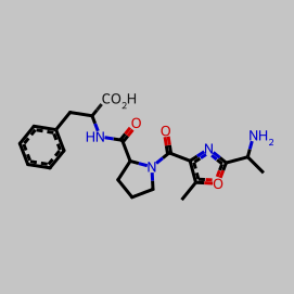 Cc1oc(C(C)N)nc1C(=O)N1CCCC1C(=O)NC(Cc1ccccc1)C(=O)O